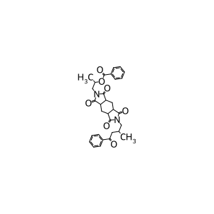 CC(CC(=O)c1ccccc1)CN1C(=O)C2CC3C(=O)N(CC(C)OC(=O)c4ccccc4)C(=O)C3CC2C1=O